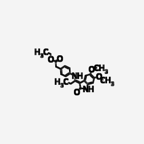 CCOC(=O)Cc1ccc(N/C(CC)=C2/C(=O)Nc3cc(OC)c(OC)cc32)cc1